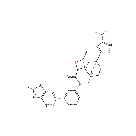 Cc1nc2ncc(-c3cccc(N(CC45CCC(c6nc(C(C)C)no6)(CC4)CC5)C(=O)C45CC(F)(C4)C5)c3)cc2s1